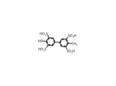 Cc1c(S(=O)(=O)O)cc(-c2cc(S(=O)(=O)O)c(O)c(S(=O)(=O)O)c2)cc1S(=O)(=O)O